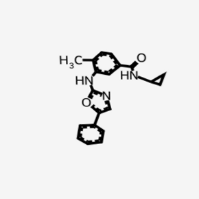 Cc1ccc(C(=O)NC2CC2)cc1Nc1ncc(-c2ccccc2)o1